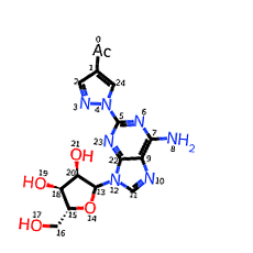 CC(=O)c1cnn(-c2nc(N)c3ncn(C4O[C@H](CO)[C@@H](O)[C@H]4O)c3n2)c1